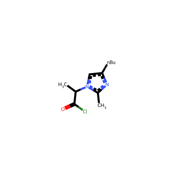 CCCCc1cn(C(C)C(=O)Cl)c(C)n1